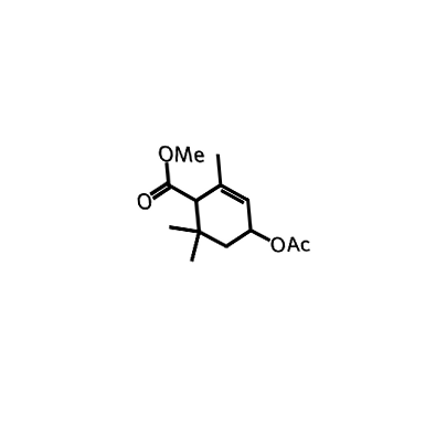 COC(=O)C1C(C)=CC(OC(C)=O)CC1(C)C